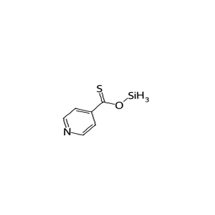 [SiH3]OC(=S)c1ccncc1